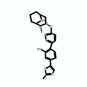 Cc1ncc(-c2ccc(-c3ccc(O[C@@H]4CC5CCCC(N5)[C@@H]4F)nn3)c(O)c2)o1